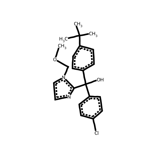 COCn1ccnc1C(O)(c1ccc(Cl)cc1)c1ccc(C(C)(C)C)cc1